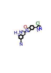 Cn1ncc(Cl)c1-c1ccc2c(c1)CN([C@H](CN)Cc1cccc(C#N)c1)C2=O